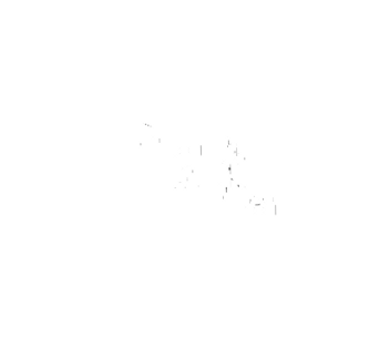 C=CC(=O)OCC(O)COC(=O)C(C)(C)CC(CSC[Si](C)(OC)OC)C(=O)NC(C)(C)CS(=O)(=O)O